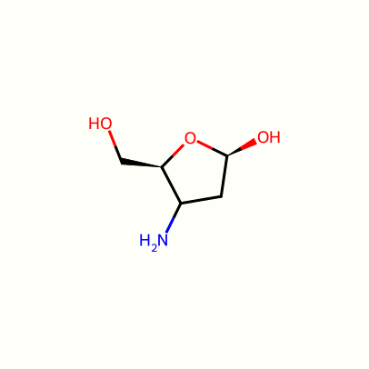 NC1C[C@H](O)O[C@@H]1CO